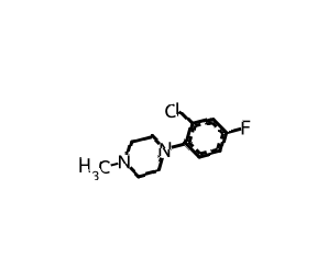 CN1CCN(c2ccc(F)cc2Cl)CC1